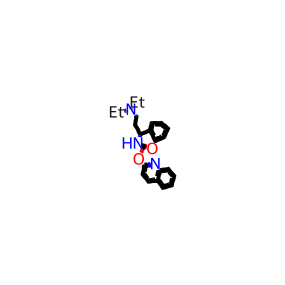 CCN(CC)CCC(NC(=O)Oc1ccc2ccccc2n1)c1ccccc1